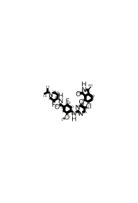 COc1cc(C(=O)N[C@H]2CCN(C(C)C)C[C@H]2F)c(F)cc1Nc1ncc(Cl)c(Oc2cccc3c2C(=O)N[C@H]3C)n1